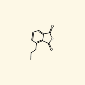 CCCc1cccc2c1C(=O)OC2=O